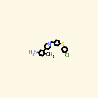 Cc1ccc(N)cc1C1CCN(Cc2ccc(Sc3ccc(Cl)cc3)cc2)CC1